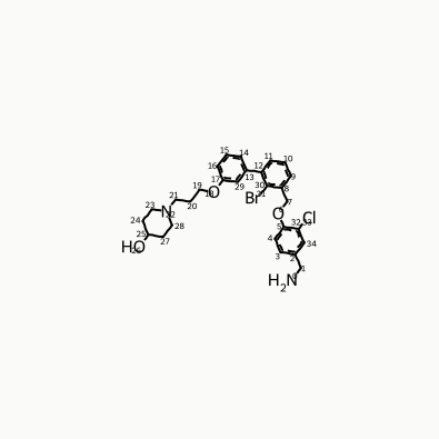 NCc1ccc(OCc2cccc(-c3cccc(OCCCN4CCC(O)CC4)c3)c2Br)c(Cl)c1